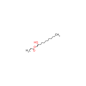 C=CC(=O)OC=C(O)CCCCCCCCCC